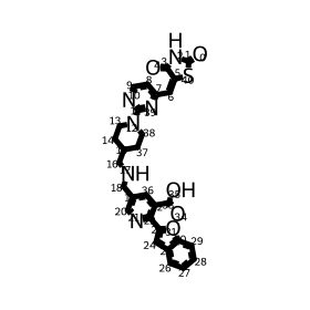 O=C1NC(=O)/C(=C\c2ccnc(N3CCC(CNCc4cnc(-c5cc6ccccc6o5)c(C(=O)O)c4)CC3)n2)S1